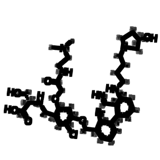 CN(C)CCNC(=O)COc1cc(OCc2cccc(-c3cccc(NCCCCN4CC[C@@H](O)C4)c3C=N)c2Br)c(Cl)cc1CN[C@@H](CO)C(=O)O